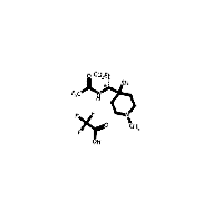 CCOC(=O)[C@@H](NC(=O)C(F)(F)F)C1(S)CCN(C)CC1.O=C(O)C(F)(F)F